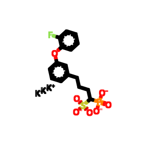 O=P([O-])([O-])C(CCCc1cccc(Oc2ccccc2F)c1)S(=O)(=O)[O-].[K+].[K+].[K+]